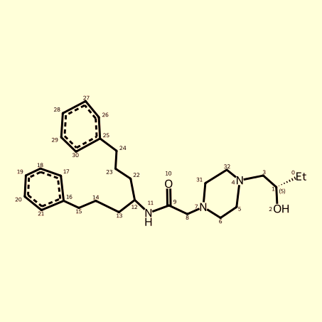 CC[C@H](O)CN1CCN(CC(=O)NC(CCCc2ccccc2)CCCc2ccccc2)CC1